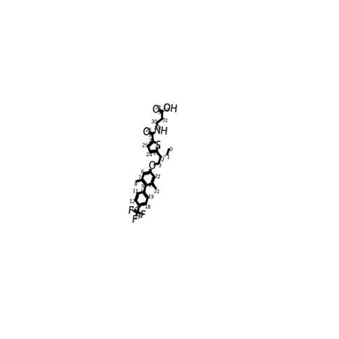 CC[C@H](COc1cc(C)c(-c2ccc(C(F)(F)F)cc2)c(C)c1)c1ccc(C(=O)NCCC(=O)O)s1